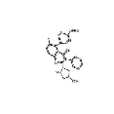 COc1ncc(-c2c(F)ccc3nc([C@H]4C[C@@H](O)CN4)n(-c4ccccc4)c(=O)c23)cn1